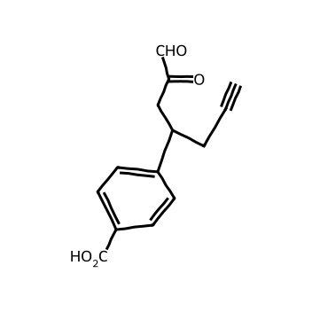 C#CCC(CC(=O)C=O)c1ccc(C(=O)O)cc1